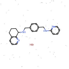 Br.c1ccc(NCc2ccc(CNC3CCCc4cccnc43)cc2)nc1